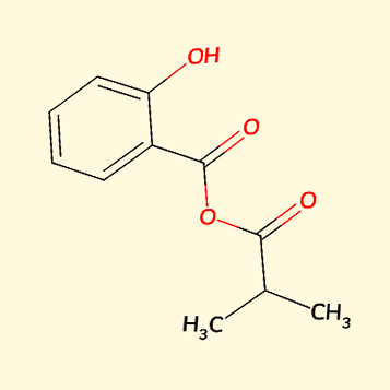 CC(C)C(=O)OC(=O)c1ccccc1O